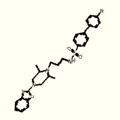 CC1CN(c2nc3ccccc3o2)CC(C)N1CCCNS(=O)(=O)c1ccc(-c2ccc(Br)cc2)cc1